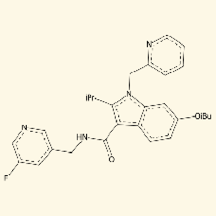 CC(C)COc1ccc2c(C(=O)NCc3cncc(F)c3)c(C(C)C)n(Cc3ccccn3)c2c1